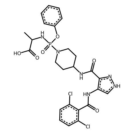 CC(NP(=O)(Oc1ccccc1)N1CCC(NC(=O)c2n[nH]cc2NC(=O)c2c(Cl)cccc2Cl)CC1)C(=O)O